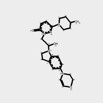 CC1CCN(c2ccc(=O)n(CC(O)N3CCc4cc(N5C=COCC5)ccc43)n2)CC1